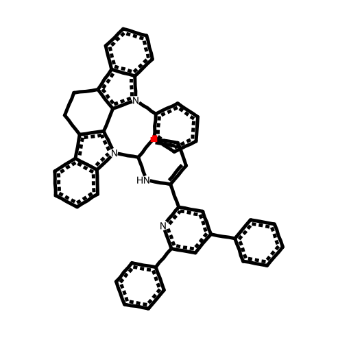 C1=CC(n2c3c(c4ccccc42)CCc2c-3n(-c3ccccc3)c3ccccc23)NC(c2cc(-c3ccccc3)cc(-c3ccccc3)n2)=C1